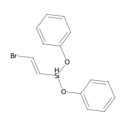 BrC=C[SiH](Oc1ccccc1)Oc1ccccc1